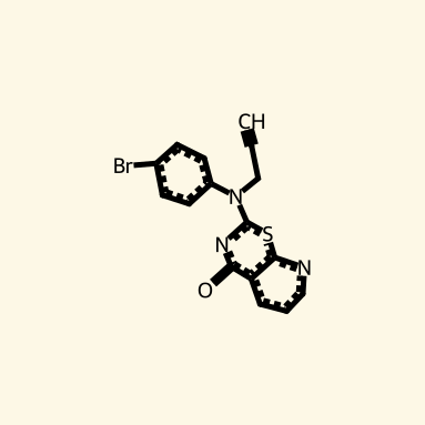 C#CCN(c1ccc(Br)cc1)c1nc(=O)c2cccnc2s1